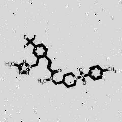 Cc1ccc(S(=O)(=O)N2CCC(CN(C)C(=O)C=Cc3ccc(C(F)(F)F)cc3Cn3nnc(C)n3)CC2)cc1